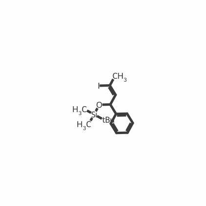 CC(I)=CC(O[Si](C)(C)C(C)(C)C)c1ccccc1